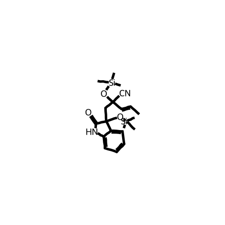 C/C=C/C(C#N)(CC1(O[Si](C)(C)C)C(=O)Nc2ccccc21)O[Si](C)(C)C